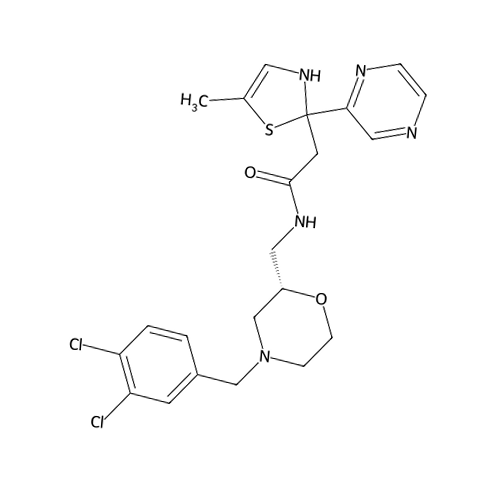 CC1=CNC(CC(=O)NC[C@H]2CN(Cc3ccc(Cl)c(Cl)c3)CCO2)(c2cnccn2)S1